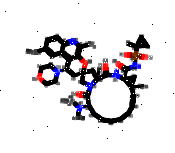 COc1ccc2nc(C(F)(F)F)c3c(c2c1)[C@@H](N1CCOCC1)C[C@]1(C[C@H]2C(=O)N[C@]4(C(=O)NS(=O)(=O)C5(C)CC5)C[C@H]4/C=C\CCCCC[C@H](N(C(=O)O)C(C)(C)C)C(=O)N2C1)O3